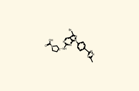 Cc1nnc(-c2ccc(-n3nc(Br)c4cnc(N[C@@H]5CCN(C(=O)O)C5)nc43)cc2)s1